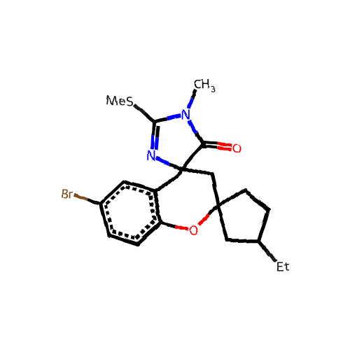 CCC1CCC2(C1)CC1(N=C(SC)N(C)C1=O)c1cc(Br)ccc1O2